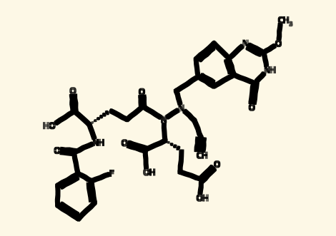 C#CCN(Cc1ccc2nc(OC)[nH]c(=O)c2c1)N(C(=O)CC[C@H](NC(=O)c1ccccc1F)C(=O)O)[C@H](CCC(=O)O)C(=O)O